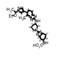 CCOC(C)n1cc(-c2ccc3nc(N[C@@H]4CCCN(c5nc6cc(NC(=O)O)ccc6s5)C4)nn3c2C)cn1